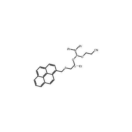 CC[C@H](CSCc1ccc2ccc3cccc4ccc1c2c34)OP(OCCC#N)N(C(C)C)C(C)C